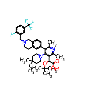 Cc1nc(C)c(C(OC(C)(C)C)C(=O)O)c(N2CCC(C)(C)CC2)c1-c1ccc2c(c1)CCN(Cc1cc(C(F)(F)F)ccc1F)C2